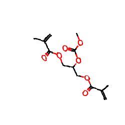 C=C(C)C(=O)OCC(COC(=O)C(=C)C)OC(=O)OC